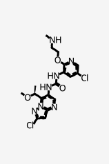 CNCCOc1ncc(Cl)cc1NC(=O)Nc1cnc2cc(Cl)nn2c1[C@H](C)OC